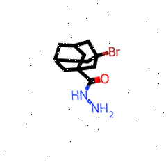 NNC(=O)C12CC3CC(CC(Br)(C3)C1)C2